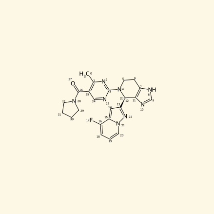 Cc1nc(N2CCc3[nH]cnc3[C@H]2c2cc3c(F)cccn3n2)ncc1C(=O)N1CCCC1